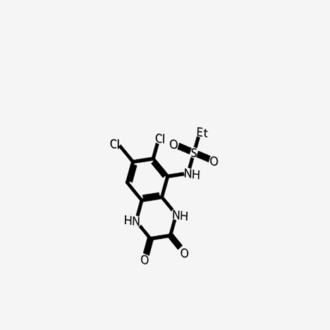 CCS(=O)(=O)Nc1c(Cl)c(Cl)cc2[nH]c(=O)c(=O)[nH]c12